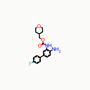 Nc1ccc(-c2ccc(F)cc2)cc1NC(=O)OCC1CCOCC1